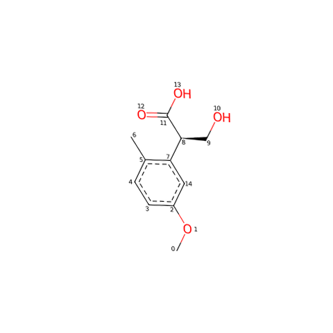 COc1ccc(C)c([C@H](CO)C(=O)O)c1